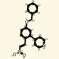 O=[N+]([O-])/C=C/c1ccc(OCc2ccccc2)cc1-c1ccncc1